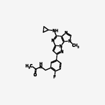 CC(=O)NCc1cc(-c2cc3nc(NC4CC4)c4ncn(C)c4n3n2)ccc1F